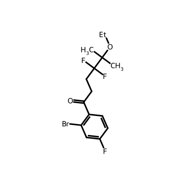 CCOC(C)(C)C(F)(F)CCC(=O)c1ccc(F)cc1Br